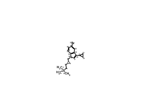 C[Si](C)(C)CCOCn1cc([C]2CC2)c2cc(Br)cnc21